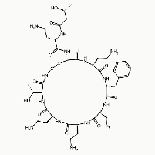 CC(C)C[C@@H]1NC(=O)[C@@H](Cc2ccccc2)NC(=O)[C@H](CCN)NC(=O)[C@@H](NC(=O)[C@H](CCN)NC(=O)C[C@@H](C)O)CCNC(=O)[C@H]([C@@H](C)O)NC(=O)[C@H](CCN)NC(=O)[C@H](CCN)NC1=O